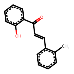 Cc1ccccc1C=CC(=O)c1ccccc1O